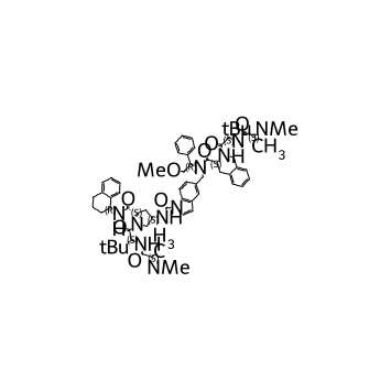 CN[C@@H](C)C(=O)N[C@H](C(=O)N1C[C@@H](NC(=O)n2ccc3cc(CN(C(=O)[C@@H]4Cc5ccccc5CN4C(=O)[C@@H](NC(=O)[C@H](C)NC)C(C)(C)C)[C@@H](COC)c4ccccc4)ccc32)C[C@H]1C(=O)N[C@@H]1CCCc2ccccc21)C(C)(C)C